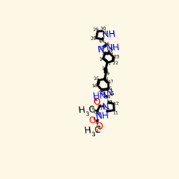 COC(=O)N[C@@H](C)C(=O)N1CCC[C@H]1c1nc2cc(C#Cc3ccc4[nH]c([C@@H]5CCCN5)nc4c3)ccc2[nH]1